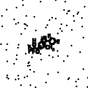 C[C@@H]1CN(C(=O)C(O)C(F)(F)F)Cc2cnc(-c3ccc(F)cc3F)n21